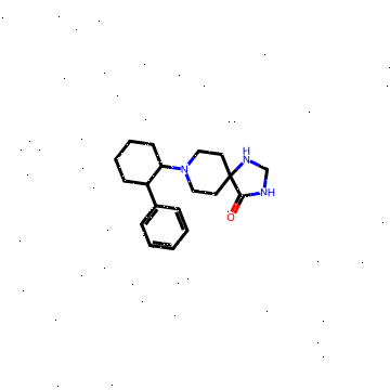 O=C1NCNC12CCN(C1CCCCC1c1ccccc1)CC2